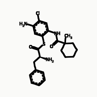 CC1(C(=O)Nc2cc(Cl)c(N)cc2SC(=O)[C@@H](N)Cc2ccccc2)CCCCC1